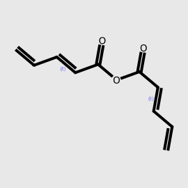 C=C/C=C/C(=O)OC(=O)/C=C/C=C